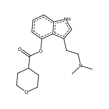 CN(C)CCc1c[nH]c2cccc(OC(=O)C3CCOCC3)c12